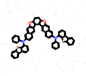 c1ccc(N(c2ccc3cc4c(cc3c2)oc2ccc3oc5cc6cc(N(c7ccccc7)c7cccc8c7sc7ccccc78)ccc6cc5c3c24)c2cccc3c2sc2ccccc23)cc1